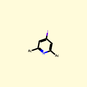 CC(=O)c1cc(I)cc(C(C)=O)n1